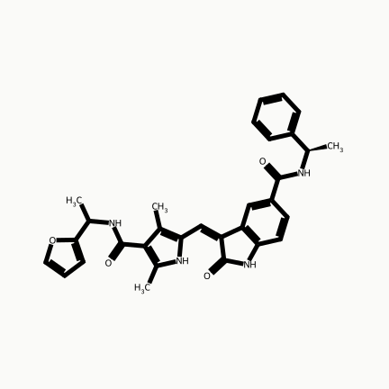 Cc1[nH]c(/C=C2\C(=O)Nc3ccc(C(=O)N[C@H](C)c4ccccc4)cc32)c(C)c1C(=O)NC(C)c1ccco1